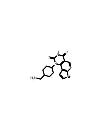 NCC1CCC(n2c(=O)[nH]c(=O)c3cnc4[nH]ccc4c32)CC1